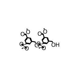 COC(=O)c1cc(CCl)cc(S(C)(=O)=O)c1.COC(=O)c1cc(CO)cc(S(C)(=O)=O)c1